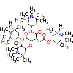 CN1C(C)(C)CC(OC(=O)CC(C(=O)OC2CC(C)(C)N(C)C(C)(C)C2)C(OC2CC(C)(C)N(C)C(C)(C)C2)C(=O)OC2CC(C)(C)N(C)C(C)(C)C2)CC1(C)C